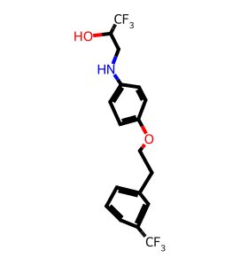 OC(CNc1ccc(OCCc2cccc(C(F)(F)F)c2)cc1)C(F)(F)F